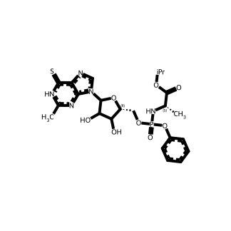 Cc1nc2c(ncn2C2O[C@H](COP(=O)(N[C@@H](C)C(=O)OC(C)C)Oc3ccccc3)C(O)C2O)c(=S)[nH]1